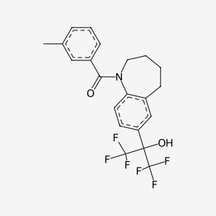 Cc1cccc(C(=O)N2CCCCc3cc(C(O)(C(F)(F)F)C(F)(F)F)ccc32)c1